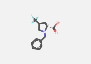 O=C(O)[C@H]1CC(C(F)(F)F)CN1Cc1ccccc1